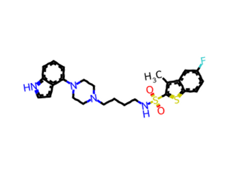 Cc1c(S(=O)(=O)NCCCCN2CCN(c3cccc4[nH]ccc34)CC2)sc2ccc(F)cc12